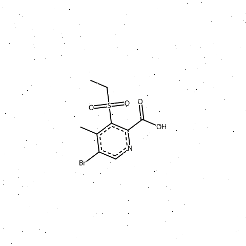 CCS(=O)(=O)c1c(C(=O)O)ncc(Br)c1C